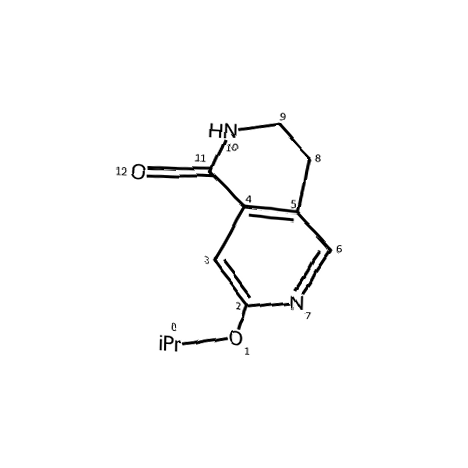 CC(C)Oc1cc2c(cn1)CCNC2=O